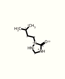 CC(C)CCN1NCNC1=O